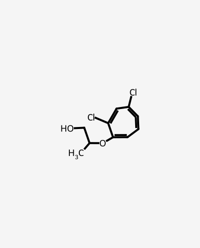 CC(CO)OC1=CC=C=C(Cl)C=C1Cl